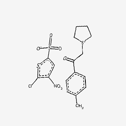 Cc1ccc(C(=O)C[S+]2CCCC2)cc1.O=[N+]([O-])c1cc(S(=O)(=O)[O-])sc1Cl